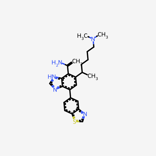 C=C(N)c1c(C(C)CCCCN(C)C)cc(-c2ccc3scnc3c2)c2nc[nH]c12